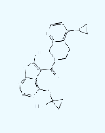 Cc1oc2ncnc(NC3(C)CC3)c2c1C(=O)N1CCc2c(C3CC3)ccnc2C1